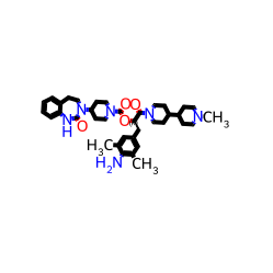 Cc1cc(C[C@@H](OC(=O)N2CCC(N3CCc4ccccc4NC3=O)CC2)C(=O)N2CCC(C3CCN(C)CC3)CC2)cc(C)c1N